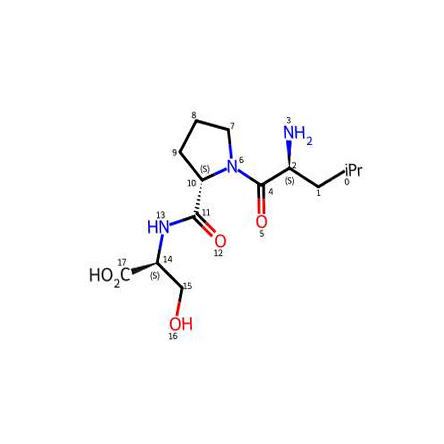 CC(C)C[C@H](N)C(=O)N1CCC[C@H]1C(=O)N[C@@H](CO)C(=O)O